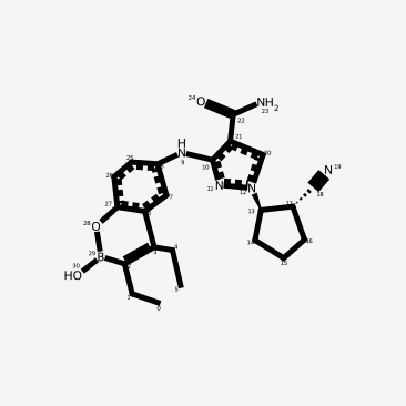 CCC1=C(CC)c2cc(Nc3nn([C@@H]4CCC[C@H]4C#N)cc3C(N)=O)ccc2OB1O